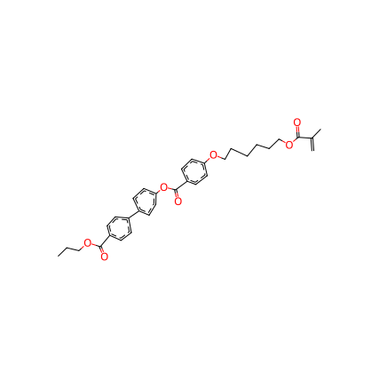 C=C(C)C(=O)OCCCCCCOc1ccc(C(=O)Oc2ccc(-c3ccc(C(=O)OCCC)cc3)cc2)cc1